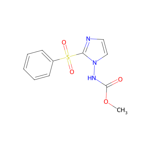 COC(=O)Nn1ccnc1S(=O)(=O)c1ccccc1